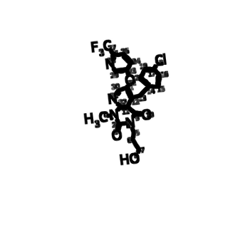 Cn1c(=O)n(CCCO)c(=O)c2c(Cc3ccc(Cl)cc3)c(Oc3ccc(C(F)(F)F)nc3)cnc21